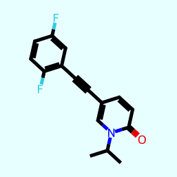 CC(C)n1cc(C#Cc2cc(F)ccc2F)ccc1=O